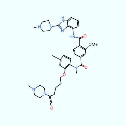 COc1cc(C(=O)N(C)c2ccc(C)cc2OCCCCC(=C=O)N2CCN(C)CC2)ccc1C(=O)Nc1cccc2[nH]c(N3CCN(C)CC3)nc12